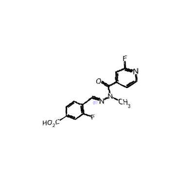 CN(/N=C/c1ccc(C(=O)O)cc1F)C(=O)c1ccnc(F)c1